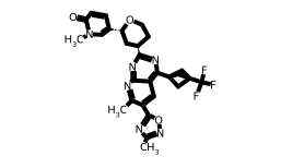 Cc1noc(-c2cc3c(C45CC(C(F)(F)F)(C4)C5)nc([C@H]4CCO[C@@H](c5ccc(=O)n(C)c5)C4)nc3nc2C)n1